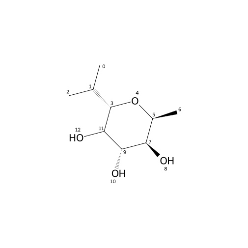 CC(C)[C@@H]1O[C@@H](C)[C@@H](O)[C@H](O)C1O